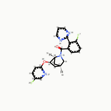 O=C(c1cccc(F)c1-c1ncccn1)N1C[C@H]2C[C@@H](Oc3ccc(F)cn3)[C@@H]1C2